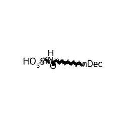 CCCCCCCCCCCCCCCCCCCCC(=O)NCCS(=O)(=O)O